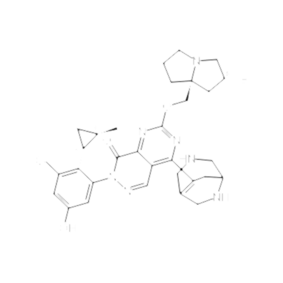 C[C@@H]1C[C@H]1c1c(Cl)cc(O)cc1-n1ncc2c(C3=C4CNCC(C3)NC4)nc(OC[C@@]34CCCN3C[C@H](F)C4)nc2c1=O